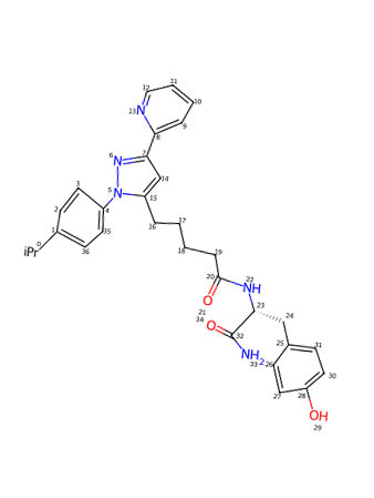 CC(C)c1ccc(-n2nc(-c3ccccn3)cc2CCCCC(=O)N[C@H](Cc2ccc(O)cc2)C(N)=O)cc1